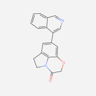 O=C1COc2cc(-c3cncc4ccccc34)cc3c2N1CC3